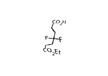 CCOC(=O)CCC(F)(F)CCC(=O)O